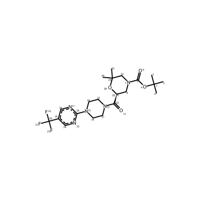 CC(C)(C)OC(=O)N1C[C@@H](C(=O)N2CCN(c3ncc(C(F)(F)F)cn3)CC2)OC(C)(C)C1